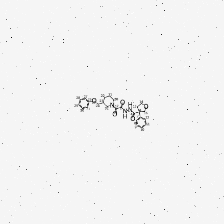 O=C(NNC(=O)C1(c2ccccc2)CCOC1)C(=O)N1CCCC(COc2ccccc2)C1